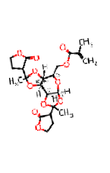 C=C(C)C(=O)OC[C@H]1O[C@H]2OC(C)(C3CCOC3=O)O[C@H]2[C@H]2OC(C)(C3CCOC3=O)O[C@@H]21